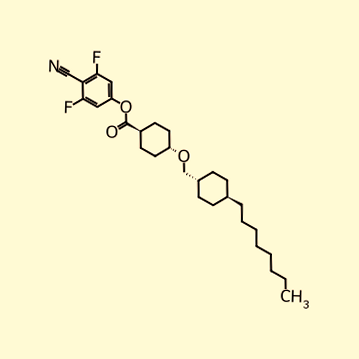 CCCCCCCC[C@H]1CC[C@H](CO[C@H]2CC[C@H](C(=O)Oc3cc(F)c(C#N)c(F)c3)CC2)CC1